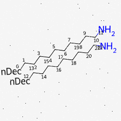 CCCCCCCCCCCCCCCCCCCCN.CCCCCCCCCCCCCCCCCCCN